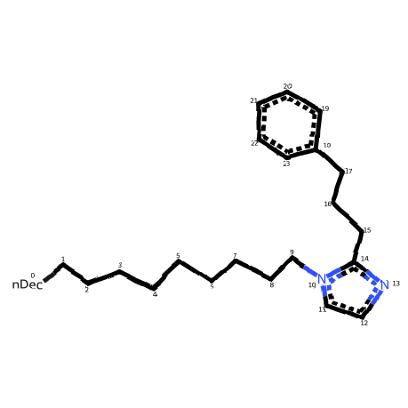 CCCCCCCCCCCCCCCCCCCn1ccnc1CCCc1ccccc1